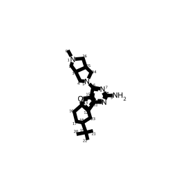 CN1CC2CN(c3nc(N)nc4c5c(oc34)CCC(C(C)(C)C)C5)CC2C1